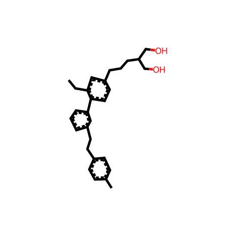 CCc1cc(CCCC(CO)CO)ccc1-c1cccc(CCc2ccc(C)cc2)c1